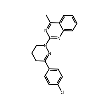 Cc1nc(N2CCCC(c3ccc(Cl)cc3)=N2)nc2ccccc12